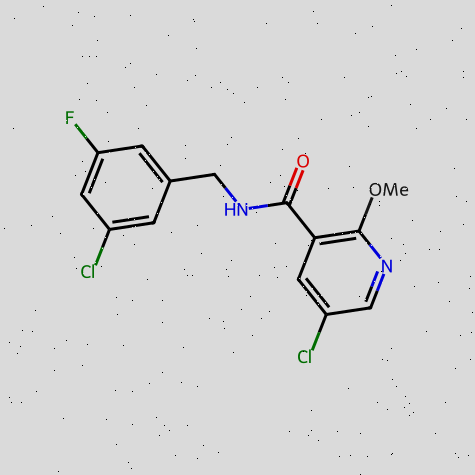 COc1ncc(Cl)cc1C(=O)NCc1cc(F)cc(Cl)c1